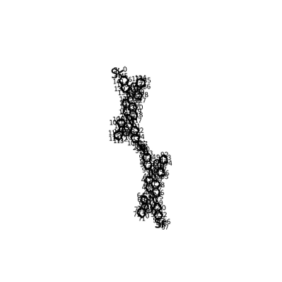 C[Si](C)(C)c1ccc2cc(N(c3ccc4ccc5c(N(c6ccc7cc([Si](C)(C)[Si](C)(C)c8ccc9cc(N(c%10ccc%11ccc%12c(N(c%13ccc%14cc([Si](C)(C)C)ccc%14c%13)c%13cccc%14c%13oc%13ccccc%13%14)ccc%13ccc%10c%11c%13%12)c%10cccc%11c%10oc%10ccccc%10%11)ccc9c8)ccc7c6)c6cccc7c6oc6ccccc67)ccc6ccc3c4c65)c3cccc4c3oc3ccccc34)ccc2c1